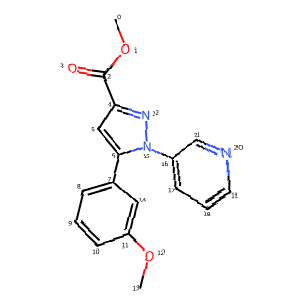 COC(=O)c1cc(-c2cccc(OC)c2)n(-c2cccnc2)n1